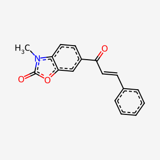 Cn1c(=O)oc2cc(C(=O)/C=C/c3ccccc3)ccc21